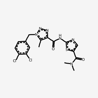 Cc1c(C(=O)Nc2ncc(C(=O)N(C)C)s2)nnn1Cc1ccc(Cl)c(Cl)c1